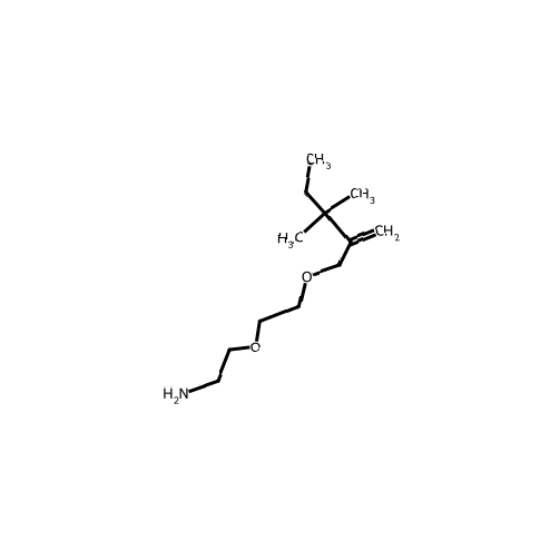 C=C(COCCOCCN)C(C)(C)CC